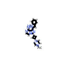 CC(=O)N1CCN([C@H]2C[C@@H](c3nc(-c4cc5ccccc5[nH]4)c4c(N)nccn43)C2)CC1